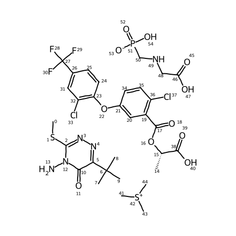 CSc1nnc(C(C)(C)C)c(=O)n1N.C[C@H](OC(=O)c1cc(Oc2ccc(C(F)(F)F)cc2Cl)ccc1Cl)C(=O)O.C[S+](C)C.O=C(O)CNCP(=O)([O-])O